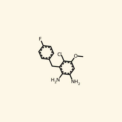 COc1cc(N)c(N)c(Cc2ccc(F)cc2)c1Cl